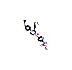 CC#C[C@H]1CN(S(=O)(=O)c2ccc(NC(=O)OC(C)(C)C)nc2)CCN1c1ccc(SC2CC2)cc1